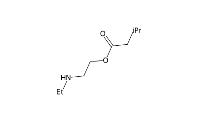 CCNCCOC(=O)CC(C)C